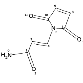 NC(=O)C=CN1C(=O)C=CC1=O